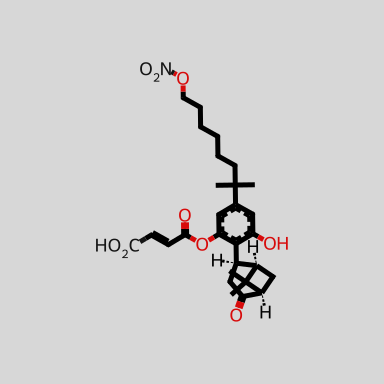 CC(C)(CCCCCCO[N+](=O)[O-])c1cc(O)c([C@@H]2CC(=O)[C@@H]3C[C@H]2C3(C)C)c(OC(=O)/C=C/C(=O)O)c1